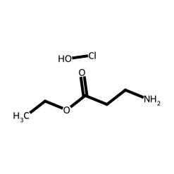 CCOC(=O)CCN.OCl